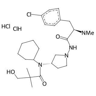 CN[C@H](Cc1ccc(Cl)cc1)C(=O)NN1CC[C@H](N(C(=O)C(C)(C)CO)C2CCCCC2)C1.Cl.Cl